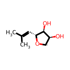 CC(C)=C[C@H]1O[CH][C@H](O)[C@@H]1O